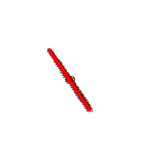 CCCCCCCCCCCCCCCCCCCCCCCCCCCCOC(=O)CCCCCCCCCCCCCCCCCCCCCCCCCCCC